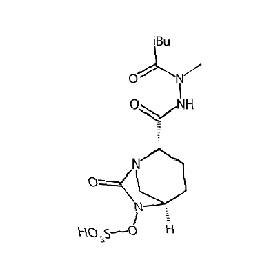 CCC(C)C(=O)N(C)NC(=O)[C@@H]1CC[C@@H]2CN1C(=O)N2OS(=O)(=O)O